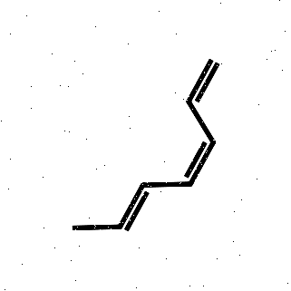 C=C/C=C\C=C\C